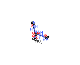 O=C(NCCNCCNC(=O)c1ccnc2ccccc12)c1cc(C(=O)NCCNCCNC(=O)c2ccnc3ccccc23)cc(N2C(=O)c3cccc4cc([N+](=O)[O-])cc(c34)C2=O)c1